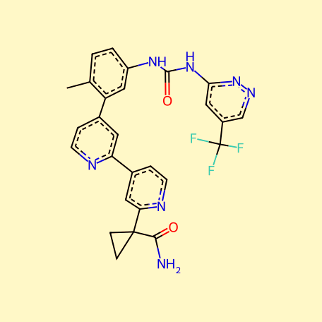 Cc1ccc(NC(=O)Nc2cc(C(F)(F)F)cnn2)cc1-c1ccnc(-c2ccnc(C3(C(N)=O)CC3)c2)c1